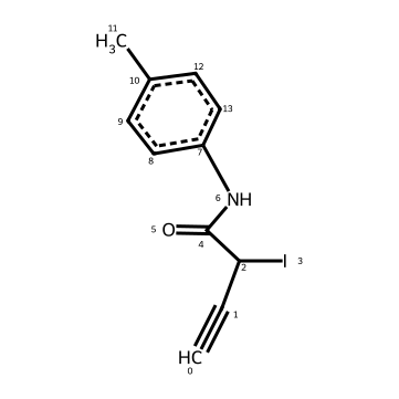 C#CC(I)C(=O)Nc1ccc(C)cc1